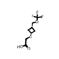 O=C(O)CO[C@H]1C[C@@H](COC(F)(F)F)C1